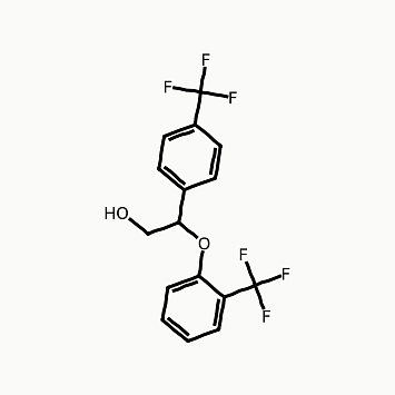 OCC(Oc1ccccc1C(F)(F)F)c1ccc(C(F)(F)F)cc1